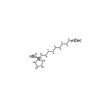 CCCCCCCCCCCCCCCCCCC[N+]1(CCCC)CCCC1